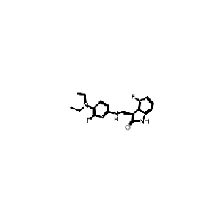 CCN(CC)c1ccc(NC=C2C(=O)Nc3cccc(F)c32)cc1F